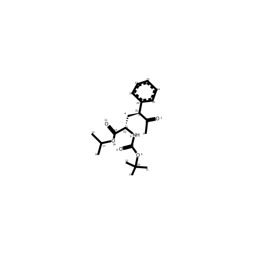 CC(=O)[C@@H](C[C@H](NC(=O)OC(C)(C)C)C(=O)OC(C)C)c1ccccc1